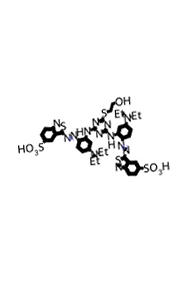 CCN(CC)c1ccc(/N=N/c2snc3ccc(S(=O)(=O)O)cc23)c(Nc2nc(Nc3cc(N(CC)CC)ccc3/N=N/c3snc4ccc(S(=O)(=O)O)cc34)nc(SCCO)n2)c1